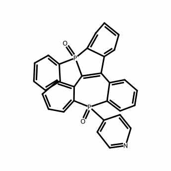 O=P1(c2ccccc2)C2=C(c3ccccc31)c1ccccc1P(=O)(c1ccncc1)c1ccccc12